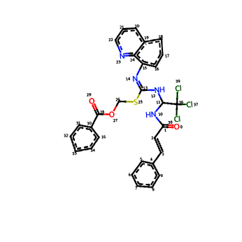 O=C(/C=C/c1ccccc1)NC(N/C(=N\c1cccc2cccnc12)SCOC(=O)c1ccccc1)C(Cl)(Cl)Cl